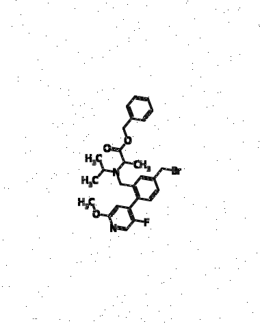 COc1cc(-c2ccc(CBr)cc2CN(C(C)C)C(C)C(=O)OCc2ccccc2)c(F)cn1